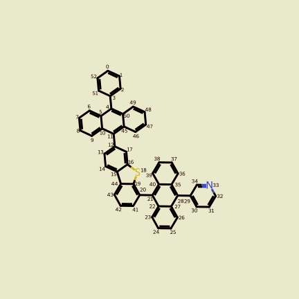 c1ccc(-c2c3ccccc3c(-c3ccc4c(c3)sc3c(-c5c6ccccc6c(-c6cccnc6)c6ccccc56)cccc34)c3ccccc23)cc1